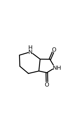 O=C1NC(=O)C2NCCCC12